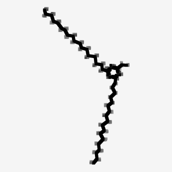 C[CH]c1nc(CCCCCCCCCCCCCCCCCC)nc(CCCCCCCCCCCCCCCCCC)n1